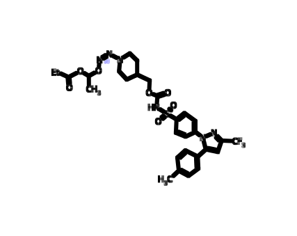 CCC(=O)OC(C)O/N=N\N1CCC(COC(=O)NS(=O)(=O)c2ccc(-n3nc(C(F)(F)F)cc3-c3ccc(C)cc3)cc2)CC1